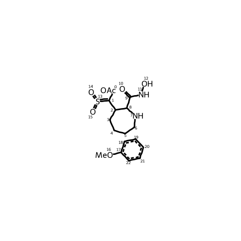 CC(=O)OC(C1CCCCNC1C(=O)NO)=S(=O)=O.COc1ccccc1